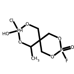 CC1O[PH](O)(Cl)OCC12COP(=O)(F)OC2